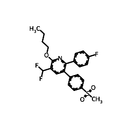 CCCCOc1nc(-c2ccc(F)cc2)c(-c2ccc(S(C)(=O)=O)cc2)cc1C(F)F